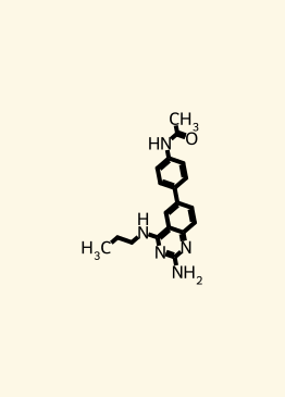 CCCNc1nc(N)nc2ccc(-c3ccc(NC(C)=O)cc3)cc12